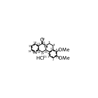 COc1ccc2c(c1OC)CCN1C(=O)c3cccnc3CC21.Cl